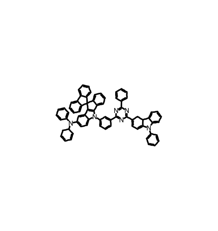 C1=CCC(N(c2ccccc2)c2ccc3c(c2)c2c(n3-c3cccc(-c4nc(C5=CC=C6C(C5)c5ccccc5N6c5ccccc5)nc(-c5ccccc5)n4)c3)-c3ccccc3C23c2ccccc2-c2ccccc23)C=C1